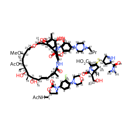 CC(=O)NC[C@H]1CN(c2ccc(N3CCOCC3)c(F)c2)C(=O)O1.CO[C@H]1/C=C/O[C@@]2(C)Oc3c(C)c(O)c4c(=O)c(c5oc6cc(N7CCN(CC(C)C)CC7)cc(O)c6nc-5c4c3C2=O)NC(=O)/C(C)=C\C=C\[C@H](C)[C@H](O)[C@@H](C)[C@@H](O)[C@@H](C)[C@H](OC(C)=O)[C@@H]1C.C[C@@H](O)[C@H]1C(=O)N2C(C(=O)O)=C(S[C@@H]3CN[C@H](C(=O)N(C)C)C3)[C@H](C)[C@H]12